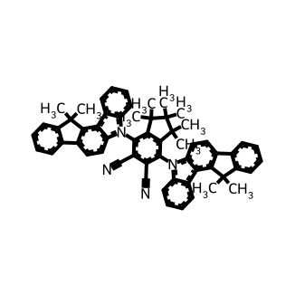 CC1(C)c2ccccc2-c2ccc3c(c21)c1ccccc1n3-c1c(C#N)c(C#N)c(-n2c3ccccc3c3c4c(ccc32)-c2ccccc2C4(C)C)c2c1C(C)(C)C(C)(C)C2(C)C